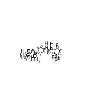 CC1(C)OB(c2ccc(NC(=O)Nc3cc(C(F)(F)F)ccc3F)cc2)OC1(C)C